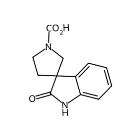 O=C(O)N1CCC2(C1)C(=O)Nc1ccccc12